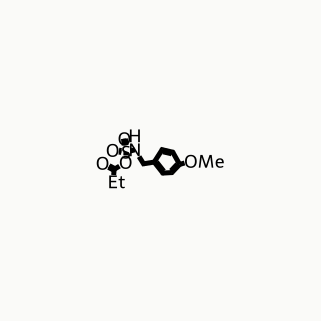 CCC(=O)OS(=O)(=O)NCc1ccc(OC)cc1